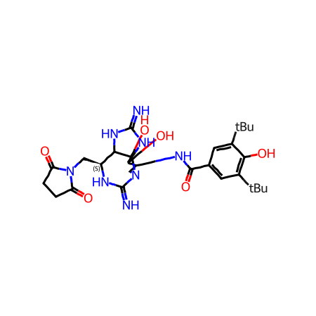 CC(C)(C)c1cc(C(=O)NC2CN3C(=N)N[C@@H](CN4C(=O)CCC4=O)C4NC(=N)NC43C2(O)O)cc(C(C)(C)C)c1O